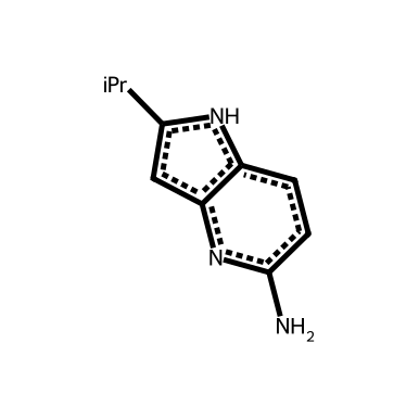 CC(C)c1cc2nc(N)ccc2[nH]1